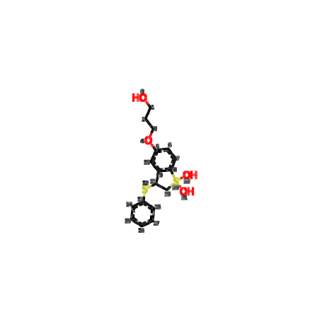 OCCCOc1ccc2c(c1)C(Sc1ccccc1)CS2(O)O